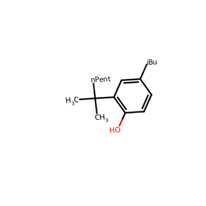 CCCCCC(C)(C)c1cc(C(C)CC)ccc1O